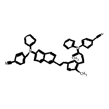 C/C=C(\C=C/c1cc(/C=C/c2ccc3cc(N(c4ccccc4)c4ccc(C#N)cc4)ccc3c2)ccc1C)N(c1ccccc1)c1ccc(C#N)cc1